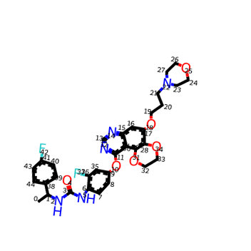 CC(NC(=O)Nc1ccc(Oc2ncnc3cc(OCCCN4CCOCC4)c4c(c23)OCCO4)cc1F)c1ccc(F)cc1